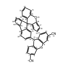 N#Cc1ccc2c(c1)Sc1cc(C#N)ccc1N2c1cnc2c(c1)C1(c3ccccc3Oc3ccccc31)c1cccnc1-2